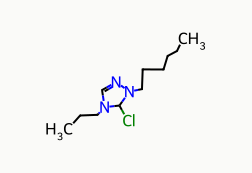 CCCCCCN1N=CN(CCC)C1Cl